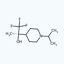 CC(C)N1CCC([C@@](C)(O)C(F)(F)F)CC1